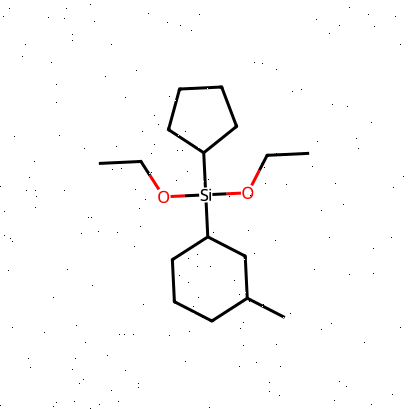 CCO[Si](OCC)(C1CCCC1)C1CCCC(C)C1